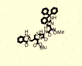 CO/N=C(\C(=O)N[C@@H]1C(=O)N2C(C(=O)OC(C)(C)C)=C(CN3SNc4ccccc4C3=O)CS[C@H]12)c1csc(NC(c2ccccc2)(c2ccccc2)c2ccccc2)n1